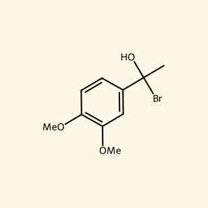 COc1ccc(C(C)(O)Br)cc1OC